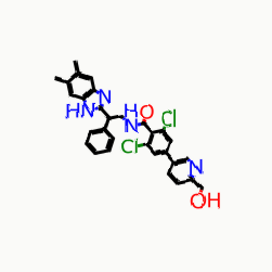 Cc1cc2nc(C(CNC(=O)c3c(Cl)cc(-c4ccc(CO)nc4)cc3Cl)c3ccccc3)[nH]c2cc1C